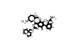 C[C@H]1CC[C@@H](N)CN2c3nc(OCC45CCCN4CCC5)nc4c(F)c(-c5cccc6sc(N)nc56)c(Cl)c(c34)OC[C@H]12